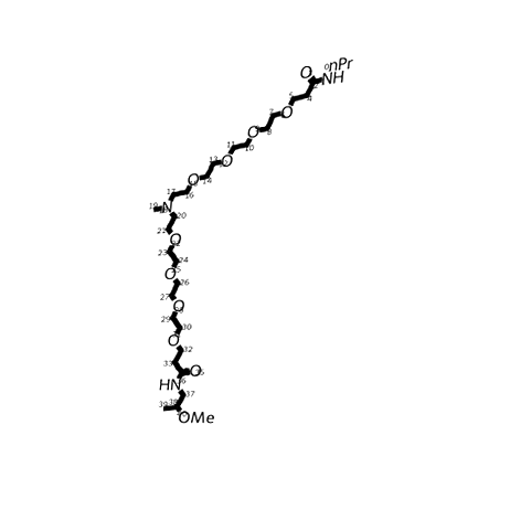 CCCNC(=O)CCOCCOCCOCCOCCN(C)CCOCCOCCOCCOCCC(=O)NCC(C)OC